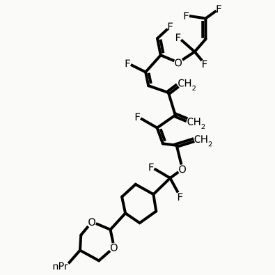 C=C(/C=C(/F)C(=C)C(=C)/C=C(F)\C(=C\F)OC(F)(F)C=C(F)F)OC(F)(F)C1CCC(C2OCC(CCC)CO2)CC1